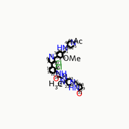 COc1cc(-c2nccc(-c3cccc(NC(=O)c4nc5c(n4C)CCN(C[C@H]4CCC(=O)N4)C5)c3Cl)c2Cl)ccc1CNC1CCN(C(C)=O)CC1